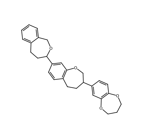 c1ccc2c(c1)CCC(c1ccc3c(c1)OCC(c1ccc4c(c1)OCCCO4)CC3)OC2